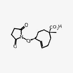 C[C@]1(C(=O)O)CC/C=C/[C@@H](ON2C(=O)CCC2=O)CC1